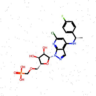 C[C@H](Nc1cc(Cl)nc2c1cnn2[C@@H]1O[C@H](COCP(=O)(O)O)[C@@H](O)[C@H]1O)c1ccc(F)cc1